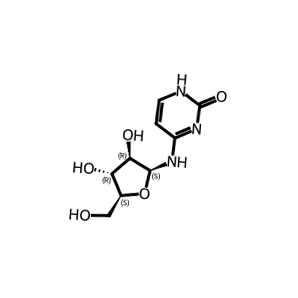 O=c1nc(N[C@H]2O[C@@H](CO)[C@H](O)[C@H]2O)cc[nH]1